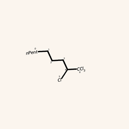 [CH2]CCCCCCCC(Cl)C(Cl)(Cl)Cl